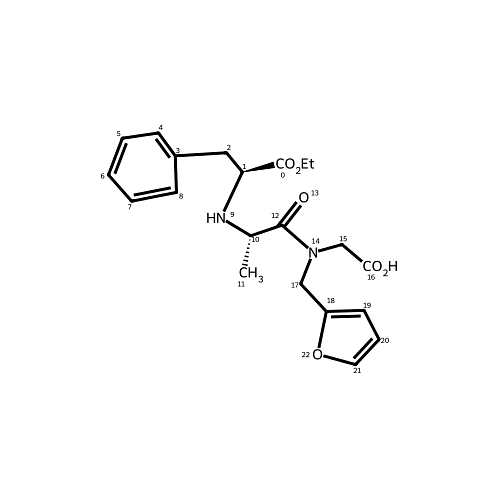 CCOC(=O)[C@H](Cc1ccccc1)N[C@@H](C)C(=O)N(CC(=O)O)Cc1ccco1